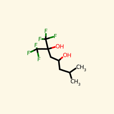 CC(C)CC(O)CC(O)(C(F)(F)F)C(F)(F)F